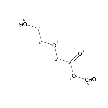 O=COC(=O)COCCO